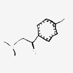 CN(C)CC(N)c1ccc(Cl)cc1